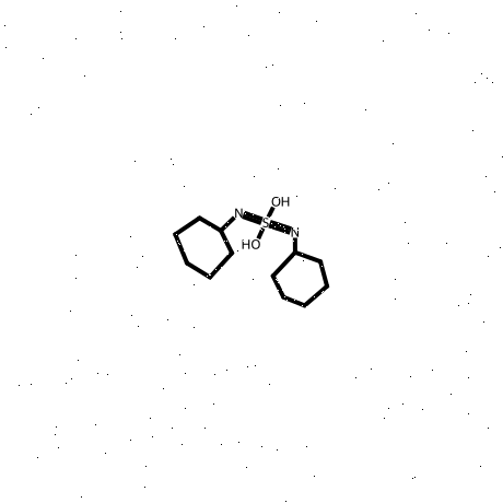 OS(O)(=NC1CCCCC1)=NC1CCCCC1